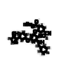 CCCCOC(=O)c1ccc(C#N)cc1Oc1nc(Oc2cccc(C3=NCCN3C)c2)nc(NCc2ccccc2)c1[N+](=O)[O-]